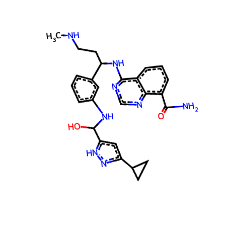 CNCCC(Nc1ncnc2c(C(N)=O)cccc12)c1cccc(NC(O)c2cc(C3CC3)n[nH]2)c1